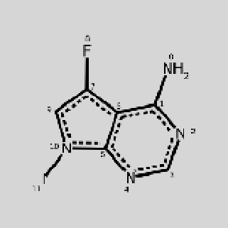 Nc1ncnc2c1c(F)cn2I